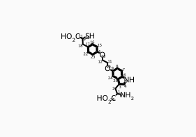 NC(Cc1c[nH]c2ccc(OCCOc3ccc(CC(S)C(=O)O)cc3)cc12)C(=O)O